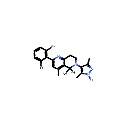 [2H]C1([2H])c2c(C)cc(-c3c(CC)cccc3CC)nc2CCN1c1c(C)nn(CC)c1C